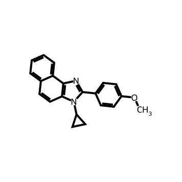 COc1ccc(-c2nc3c4ccccc4ccc3n2C2CC2)cc1